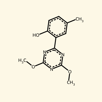 COc1nc(OC)nc(-c2cc(C)ccc2O)n1